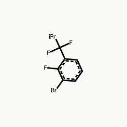 CC(C)C(F)(F)c1cccc(Br)c1F